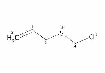 C=CCSCCl